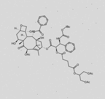 CC(=O)OCC(COC(C)=O)OC(=O)CCCC(=O)O[C@@H](C(=O)O[C@H]1C[C@@]2(O)[C@@H](OC(=O)c3ccccc3)[C@@H]3[C@]4(OC(C)=O)CO[C@@H]4C[C@H](O)[C@@]3(C)C(=O)[C@H](OC(C)=O)C(=C1C)C2(C)C)[C@@H](NC(=O)OC(C)(C)C)c1ccccc1